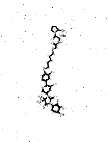 CC1CCCN1C(=O)[C@@H](NC(=O)COCCCCCOc1ccc(-c2ncc(N3C(=S)N(c4ccc(C#N)c(C(F)(F)F)c4F)C(=O)C3(C)C)cc2F)cc1F)C(C)(C)C